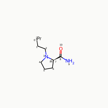 CC(C)CCN1CCC[C@@H]1C(N)=O